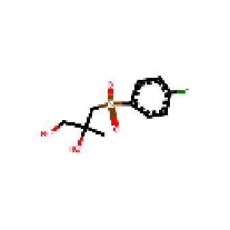 CC(O)(CO)CS(=O)(=O)c1ccc(F)cc1